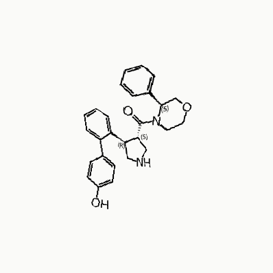 O=C([C@@H]1CNC[C@H]1c1ccccc1-c1ccc(O)cc1)N1CCOC[C@@H]1c1ccccc1